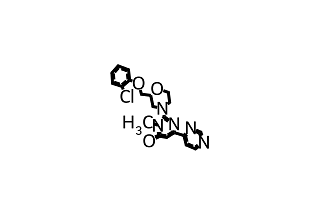 Cn1c(N2CCOC(COc3ccccc3Cl)C2)nc(-c2ccncn2)cc1=O